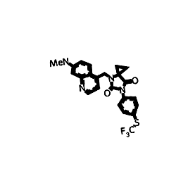 CNc1ccc2c(CN3C(=O)N(c4ccc(SC(F)(F)F)cc4)C(=O)C34CC4)ccnc2c1